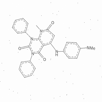 CNc1ccc(Nc2cc(=O)n(C)c3c2c(=O)n(-c2ccccc2)c(=O)n3-c2ccccc2)cc1